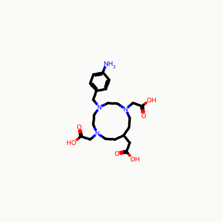 Nc1ccc(CN2CCN(CC(=O)O)CCC(CC(=O)O)CCN(CC(=O)O)CC2)cc1